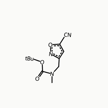 CN(Cc1cc(C#N)on1)C(=O)OC(C)(C)C